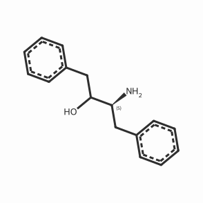 N[C@@H](Cc1ccccc1)C(O)Cc1ccccc1